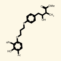 CCCc1c(OCCCSc2ccc(CC(O)C(C)C(=O)OC)cc2)ccc(C(C)=O)c1O